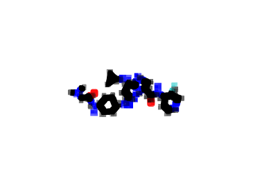 CN(C)CC(=O)N[C@H]1CC[C@H](Nc2cc(NC3CC3)c3ncc(C(=O)Nc4ccncc4F)n3n2)CC1